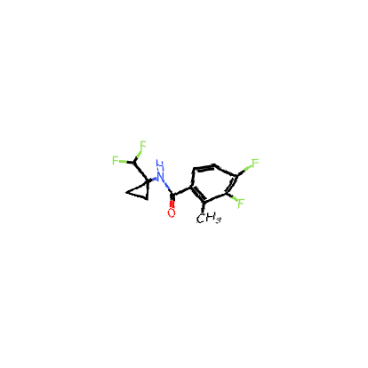 Cc1c(C(=O)NC2(C(F)F)CC2)ccc(F)c1F